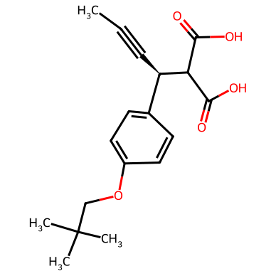 CC#C[C@H](c1ccc(OCC(C)(C)C)cc1)C(C(=O)O)C(=O)O